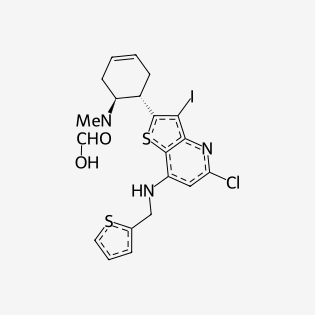 CN[C@H]1CC=CC[C@@H]1c1sc2c(NCc3cccs3)cc(Cl)nc2c1I.O=CO